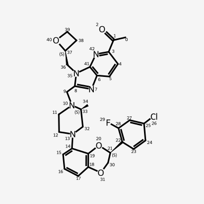 CC(=O)c1ccc2nc(CN3CCN(c4cccc5c4O[C@@H](c4ccc(Cl)cc4F)CO5)C[C@@H]3C)n(C[C@@H]3CCO3)c2n1